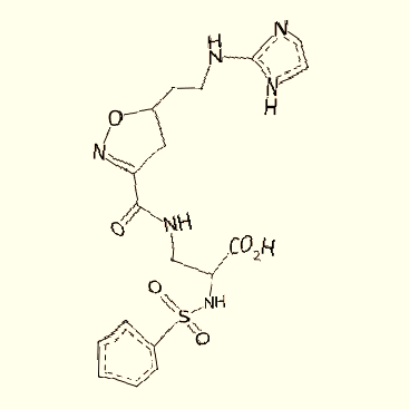 O=C(NCC(NS(=O)(=O)c1ccccc1)C(=O)O)C1=NOC(CCNc2ncc[nH]2)C1